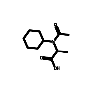 CC(=O)N(C1CCCCC1)[C@@H](C)C(=O)O